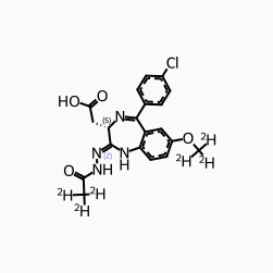 [2H]C([2H])([2H])Oc1ccc2c(c1)C(c1ccc(Cl)cc1)=N[C@@H](CC(=O)O)/C(=N/NC(=O)C([2H])([2H])[2H])N2